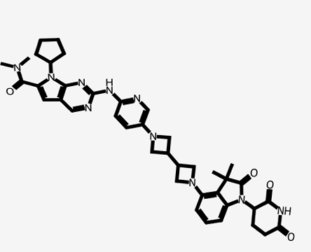 CN(C)C(=O)c1cc2cnc(Nc3ccc(N4CC(C5CN(c6cccc7c6C(C)(C)C(=O)N7C6CCC(=O)NC6=O)C5)C4)cn3)nc2n1C1CCCC1